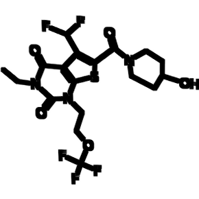 CCn1c(=O)c2c(C(F)F)c(C(=O)N3CCC(O)CC3)sc2n(CCOC(F)(F)F)c1=O